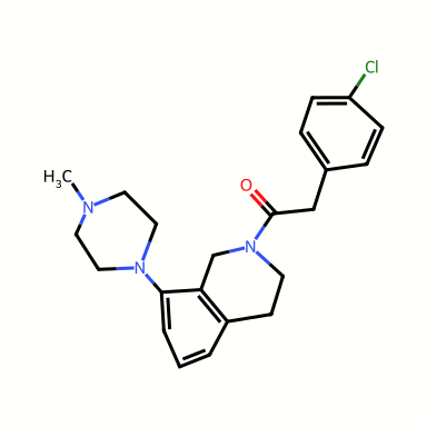 CN1CCN(c2cccc3c2CN(C(=O)Cc2ccc(Cl)cc2)CC3)CC1